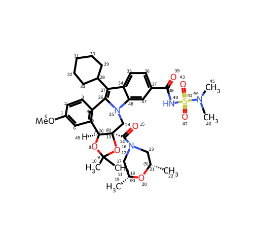 COc1ccc2c(c1)[C@@H]1OC(C)(C)O[C@]1(C(=O)N1C[C@@H](C)O[C@@H](C)C1)Cn1c-2c(C2CCCCC2)c2ccc(C(=O)NS(=O)(=O)N(C)C)cc21